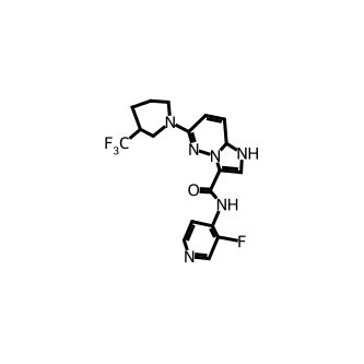 O=C(Nc1ccncc1F)C1=CNC2C=CC(N3CCCC(C(F)(F)F)C3)=NN12